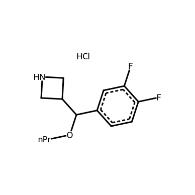 CCCOC(c1ccc(F)c(F)c1)C1CNC1.Cl